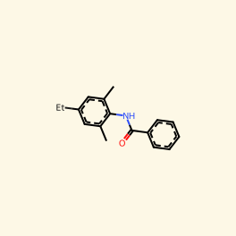 CCc1cc(C)c(NC(=O)c2ccccc2)c(C)c1